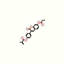 C=C(C)C(=O)Oc1ccc(-c2cc3ccc(OC(=O)CC)cc3oc2=O)cc1